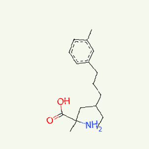 CCC(CCCc1cccc(C)c1)CC(C)(N)C(=O)O